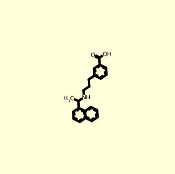 CC(NCCCc1cccc(C(=O)O)c1)c1cccc2ccccc12